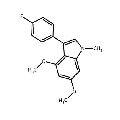 COc1cc(OC)c2c(-c3ccc(F)cc3)cn(C)c2c1